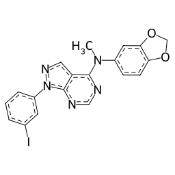 CN(c1ccc2c(c1)OCO2)c1ncnc2c1cnn2-c1cccc(I)c1